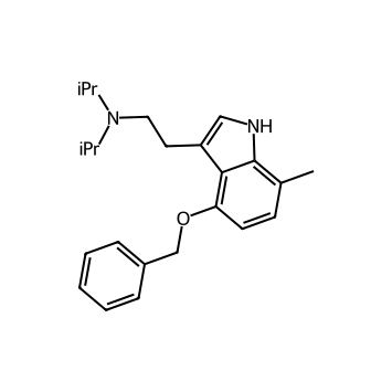 Cc1ccc(OCc2ccccc2)c2c(CCN(C(C)C)C(C)C)c[nH]c12